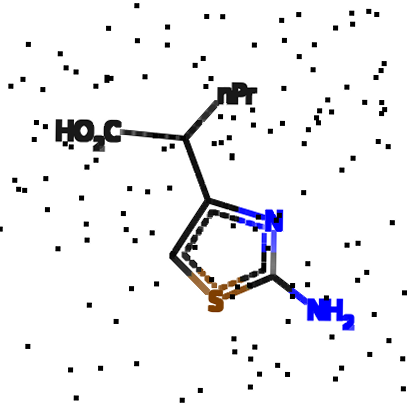 CCCC(C(=O)O)c1csc(N)n1